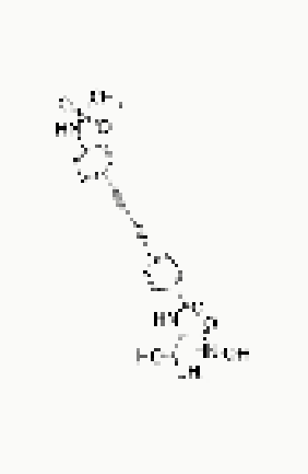 C[C@@H](O)[C@H](NC(=O)c1ccc(C#CC#Cc2ccc(NS(C)(=O)=O)cc2)cc1)C(=O)NO